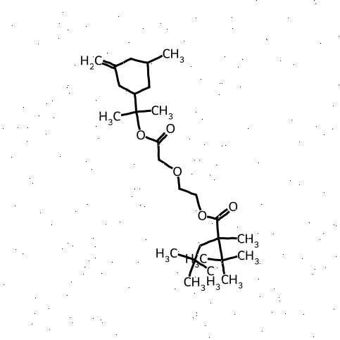 C=C1CC(C)CC(C(C)(C)OC(=O)COCCOC(=O)C(C)(CC(C)(C)C)C(C)(C)C)C1